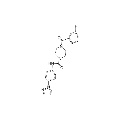 O=C(Nc1ccc(-n2cccn2)cc1)N1CCN(C(=O)c2cccc(F)c2)CC1